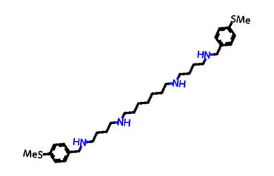 CSc1ccc(CNCCCCNCCCCCCCNCCCCNCc2ccc(SC)cc2)cc1